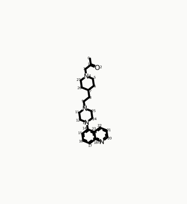 CC(=O)CN1CCC(CCN2CCN(c3cccc4ncccc34)CC2)CC1